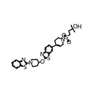 CC(C)(O)CCS(=O)(=O)N1CC=C(c2ccc3nc(OC4CCN(c5nc6ccccc6s5)CC4)sc3c2)CC1